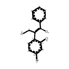 ClCC(=C(Cl)c1ccccc1)c1ccc(Br)cc1Cl